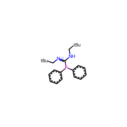 CC(C)(C)C/N=C(/NCC(C)(C)C)P(c1ccccc1)c1ccccc1